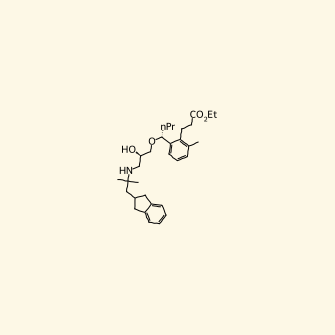 CCC[C@@H](OC[C@H](O)CNC(C)(C)CC1Cc2ccccc2C1)c1cccc(C)c1CCC(=O)OCC